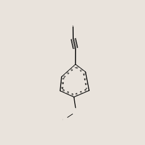 FC(F)(F)Oc1ccc(C#C[SiH3])cc1